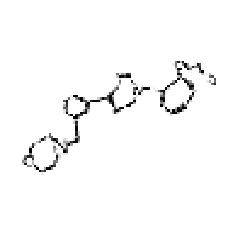 Cc1ccccc1CN1CCC(c2cccc(CN3CCOCC3)c2)CC1